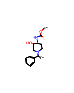 CCC(c1ccccc1)N1CC[C@H](NC(=O)OC(C)C)[C@@H](O)C1